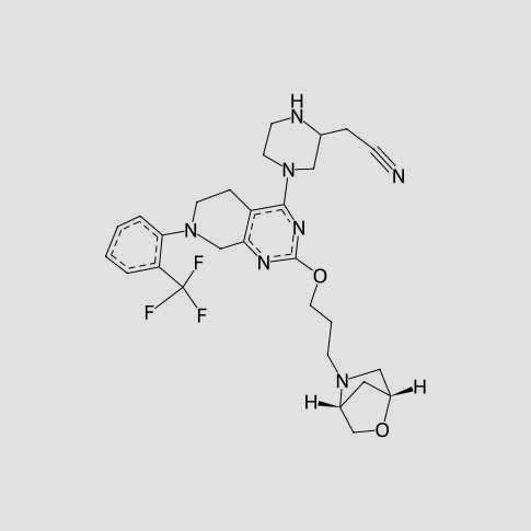 N#CCC1CN(c2nc(OCCCN3C[C@H]4C[C@@H]3CO4)nc3c2CCN(c2ccccc2C(F)(F)F)C3)CCN1